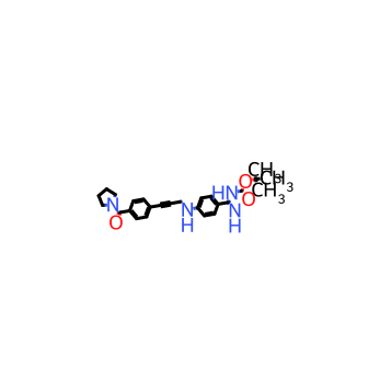 CC(C)(C)OC(=O)NC(=N)c1ccc(NCC#Cc2ccc(C(=O)N3CCCC3)cc2)cc1